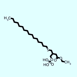 CCCCCCCCCCCCCCCCSCC(COP(=O)(O)O)CC(=O)OCC